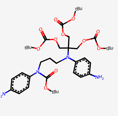 CC(C)(C)OC(=O)OCC(COC(=O)OC(C)(C)C)(COC(=O)OC(C)(C)C)N(CCCN(C(=O)OC(C)(C)C)c1ccc(N)cc1)c1ccc(N)cc1